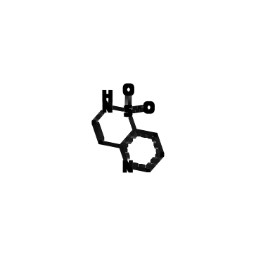 O=S1(=O)NC=Cc2ncccc21